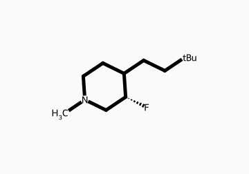 CN1CCC(CCC(C)(C)C)[C@H](F)C1